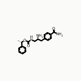 C[C@H](OC(=O)NC[C@@H](N)Cc1ccc(C(N)=O)cc1)c1ccccc1